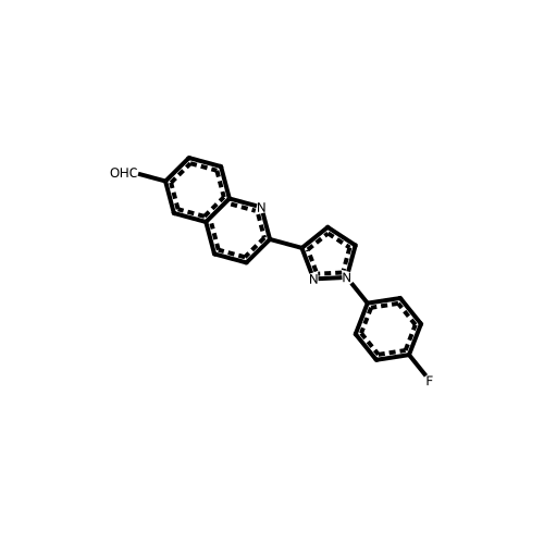 O=Cc1ccc2nc(-c3ccn(-c4ccc(F)cc4)n3)ccc2c1